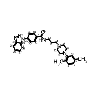 Cc1ccc(C)c(N2CCN(CCCNC(=O)c3ccc(-n4nnc5cccnc54)cc3)CC2)c1